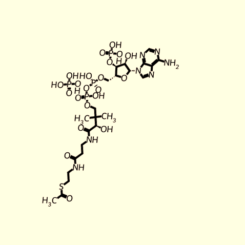 CC(=O)SCCNC(=O)CCNC(=O)[C@H](O)C(C)(C)COP(=O)(O)OP(=O)(O)OC[C@H]1O[C@@H](n2cnc3c(N)ncnc32)[C@H](O)[C@@H]1OP(=O)(O)O.O=P(O)(O)O